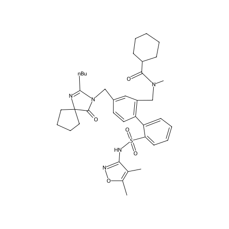 CCCCC1=NC2(CCCC2)C(=O)N1Cc1ccc(-c2ccccc2S(=O)(=O)Nc2noc(C)c2C)c(CN(C)C(=O)C2CCCCC2)c1